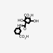 O=C(O)c1cccc(NC(=O)c2cc(O)cc(C(=O)O)c2O)c1